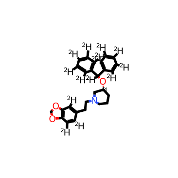 [2H]c1c([2H])c([2H])c(C([2H])(O[C@@H]2CCCN(CCc3c([2H])c([2H])c4c(c3[2H])OCO4)C2)c2c([2H])c([2H])c([2H])c([2H])c2[2H])c([2H])c1[2H]